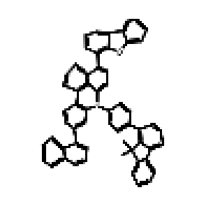 CC1(C)c2ccccc2-c2cccc(-c3ccc(N(c4ccc(-c5cccc6c5oc5ccccc56)cc4)c4cc(-c5cccc6ccccc56)ccc4-c4ccccc4)cc3)c21